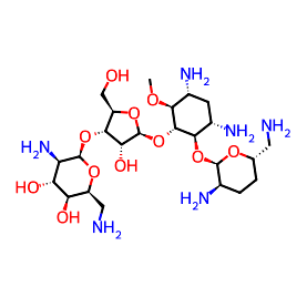 CO[C@@H]1[C@@H](O[C@@H]2O[C@H](CO)[C@@H](O[C@H]3O[C@@H](CN)[C@@H](O)[C@H](O)[C@H]3N)[C@H]2O)[C@H](O[C@H]2O[C@H](CN)CC[C@H]2N)[C@@H](N)C[C@H]1N